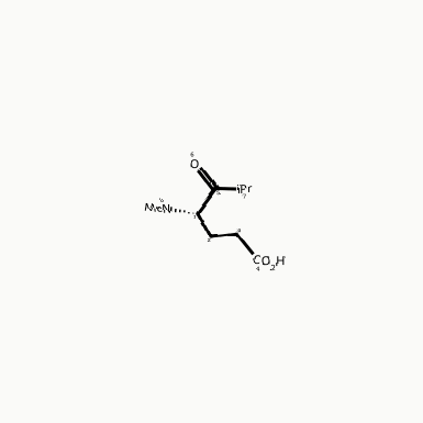 CN[C@@H](CCC(=O)O)C(=O)C(C)C